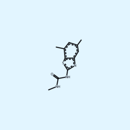 CNC(=O)Nc1nc2cc(C)cc(C)c2s1